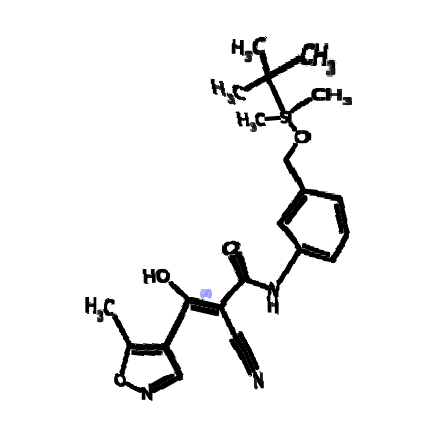 Cc1oncc1/C(O)=C(\C#N)C(=O)Nc1cccc(CO[Si](C)(C)C(C)(C)C)c1